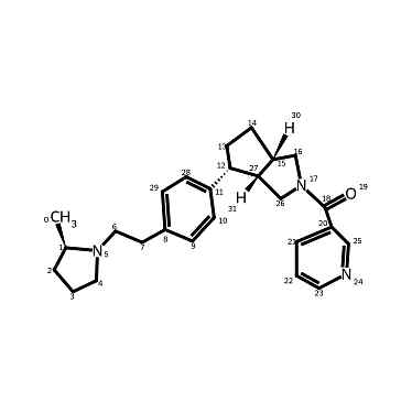 C[C@@H]1CCCN1CCc1ccc([C@@H]2CC[C@@H]3CN(C(=O)c4cccnc4)C[C@@H]32)cc1